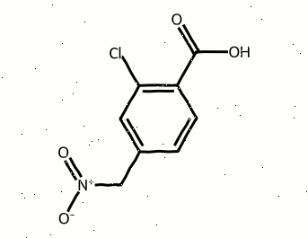 O=C(O)c1ccc(C[N+](=O)[O-])cc1Cl